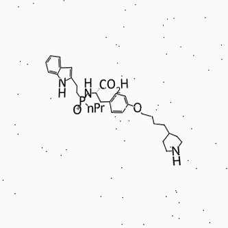 CCCP(=O)(CCc1cc2ccccc2[nH]1)N[C@@H](Cc1ccc(OCCCCC2CCNCC2)cc1)C(=O)O